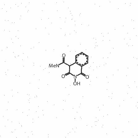 CNC(=O)C1C(=O)N(O)C(=O)c2ccccc21